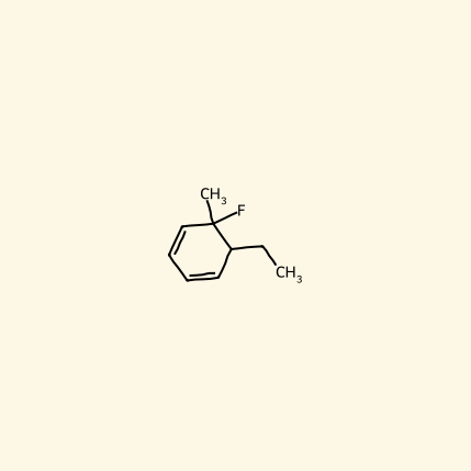 CCC1C=CC=CC1(C)F